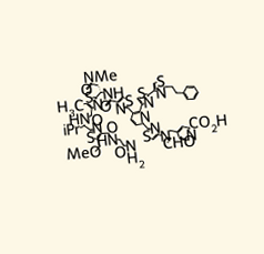 CNC(=O)C[C@H](NC(=O)c1csc(-c2ccc(-c3nc(N(C=O)Cc4ccnc(C(=O)O)c4)cs3)nc2-c2csc(-c3csc(CCc4ccccc4)n3)n2)n1)c1nc(C(=O)NC(c2nc(C(=O)NCC(N)=O)c(COC)s2)C(C)C)c(C)s1